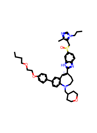 CCCCOCCOc1ccc(-c2ccc3c(c2)/C=C(/c2nc4ccc([S+]([O-])Cc5c(C)ncn5CCC)cc4[nH]2)CCCN3CC2CCOCC2)cc1